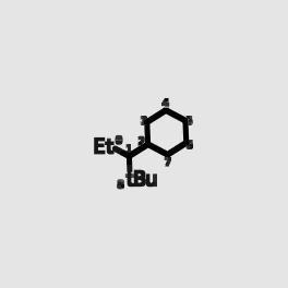 CCC(C1CCCCC1)C(C)(C)C